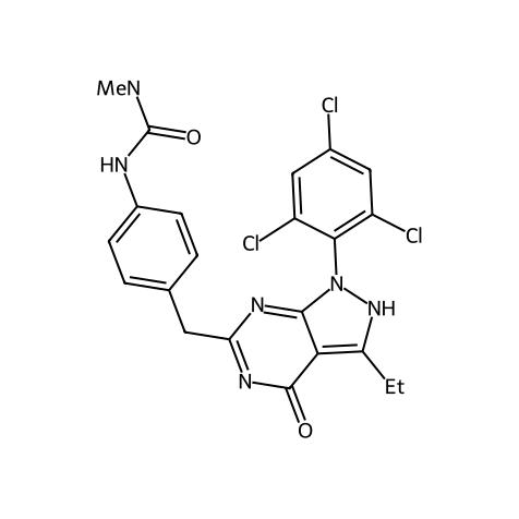 CCc1[nH]n(-c2c(Cl)cc(Cl)cc2Cl)c2nc(Cc3ccc(NC(=O)NC)cc3)nc(=O)c1-2